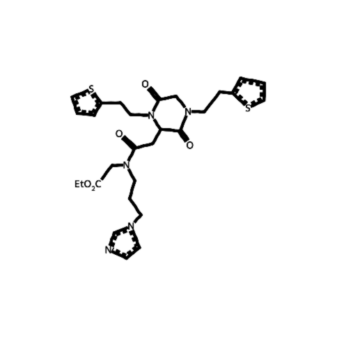 CCOC(=O)CN(CCCn1ccnc1)C(=O)CC1C(=O)N(CCc2cccs2)CC(=O)N1CCc1cccs1